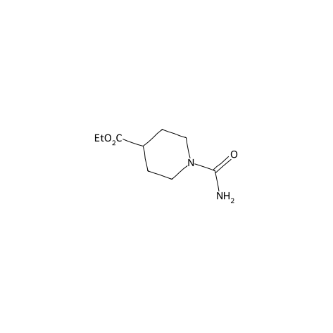 CCOC(=O)C1CCN(C(N)=O)CC1